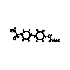 CCCCCCOc1ccc(-c2ccc(C(=O)C(C)(C)C)cc2)cc1